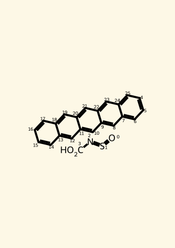 O=S=NC(=O)O.c1ccc2cc3cc4cc5ccccc5cc4cc3cc2c1